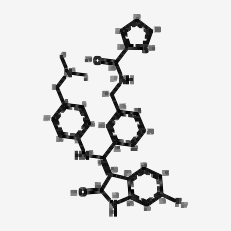 CN(C)Cc1ccc(N/C(=C2\C(=O)Nc3cc(F)ccc32)c2cccc(CNC(=O)c3cccs3)c2)cc1